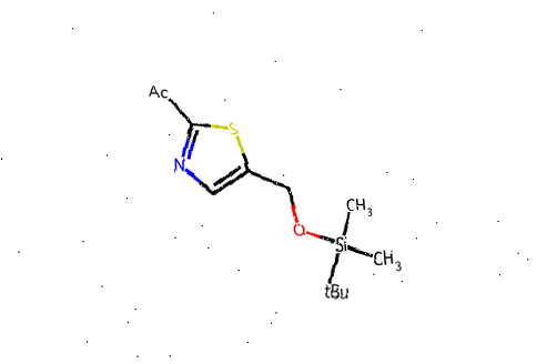 [CH2]C(=O)c1ncc(CO[Si](C)(C)C(C)(C)C)s1